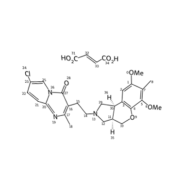 COc1cc2c(c(OC)c1C)OC[C@H]1CN(CCc3c(C)nc4ccc(Cl)cn4c3=O)C[C@@H]21.O=C(O)/C=C/C(=O)O